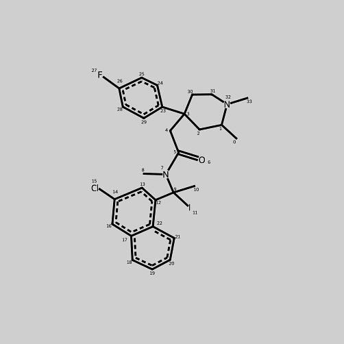 CC1CC(CC(=O)N(C)C(C)(I)c2cc(Cl)cc3ccccc23)(c2ccc(F)cc2)CCN1C